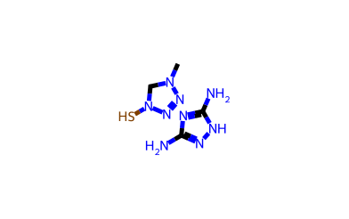 CN1CN(S)N=N1.Nc1n[nH]c(N)n1